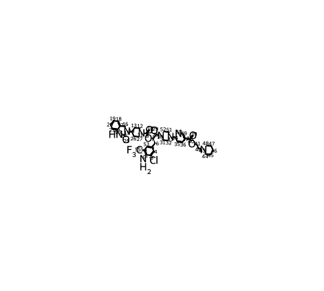 Nc1c(Cl)cc(C[C@@H](OC(=O)N2CCC(N3Cc4ccccc4NC3=O)CC2)C(=O)N2CCN(c3ccc(C(=O)OCCN4CCCCC4)cn3)CC2)cc1C(F)(F)F